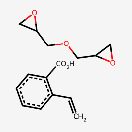 C(OCC1CO1)C1CO1.C=Cc1ccccc1C(=O)O